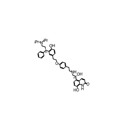 CC(C)N(CC[C@H](c1ccccc1)c1cc(CCOc2ccc(CCNC[C@H](O)c3ccc(O)c4[nH]c(=O)ccc34)cc2)ccc1O)C(C)C